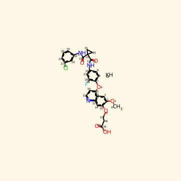 COc1cc2c(Oc3ccc(NC(=O)C4(C(=O)Nc5cccc(Cl)c5)CC4)cc3F)ccnc2cc1OCCC(=O)O.[KH]